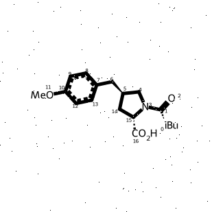 CC[C@@H](C)C(=O)N1C[C@H](Cc2ccc(OC)cc2)C[C@H]1C(=O)O